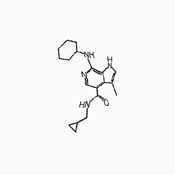 Cc1c[nH]c2c(NC3CCCCC3)ncc(C(=O)NCC3CC3)c12